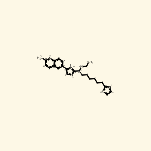 CCN[C@@H](CCCCCCc1ncco1)c1ncc(-c2ccc3nc(C)ccc3c2)[nH]1